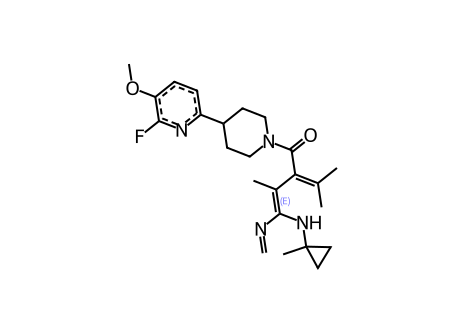 C=N/C(NC1(C)CC1)=C(\C)C(C(=O)N1CCC(c2ccc(OC)c(F)n2)CC1)=C(C)C